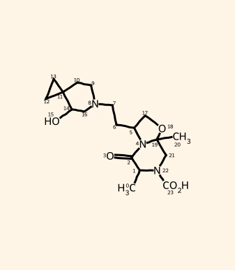 CC1C(=O)N2C(CCN3CCC4(CC4)C(O)C3)COC2(C)CN1C(=O)O